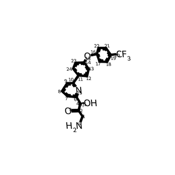 NCC(=O)[C@H](O)c1cccc(-c2ccc(Oc3ccc(C(F)(F)F)cc3)cc2)n1